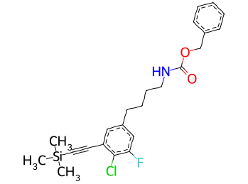 C[Si](C)(C)C#Cc1cc(CCCCNC(=O)OCc2ccccc2)cc(F)c1Cl